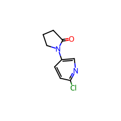 O=C1CCCN1c1ccc(Cl)nc1